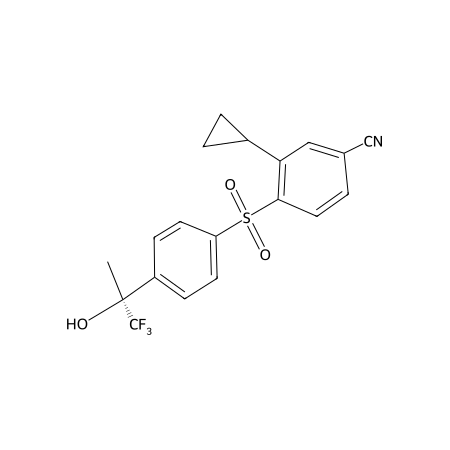 C[C@](O)(c1ccc(S(=O)(=O)c2ccc(C#N)cc2C2CC2)cc1)C(F)(F)F